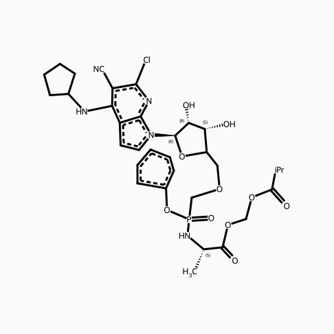 CC(C)C(=O)OCOC(=O)[C@H](C)NP(=O)(COCC1O[C@@H](n2ccc3c(NC4CCCC4)c(C#N)c(Cl)nc32)[C@H](O)[C@@H]1O)Oc1ccccc1